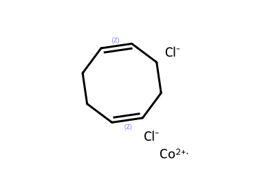 C1=C\CC/C=C\CC/1.[Cl-].[Cl-].[Co+2]